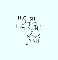 CC(C)[C@@](C)(S)Nc1ncnc2[nH]c(F)nc12